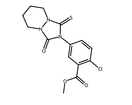 COC(=O)c1cc(-n2c(=O)n3n(c2=S)CCCC3)ccc1Cl